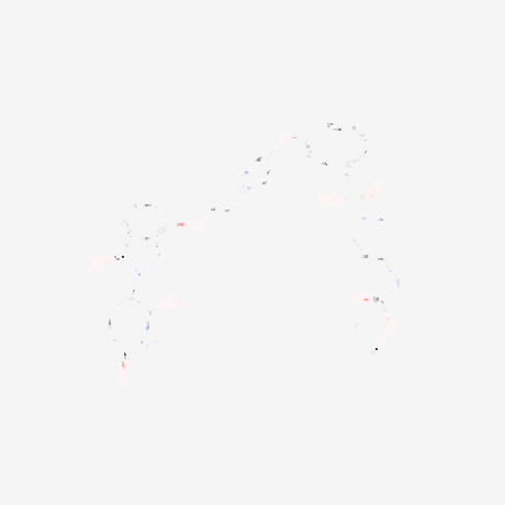 CC(C)(C)OC(=O)NC1CCN(S(=O)(=O)c2cccc(OC3CN(CCOc4cccc5c4CN(C4CCC(=O)NC4=O)C5=O)C3)c2)CC1